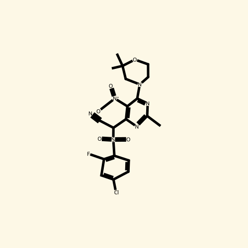 Cc1nc(C(C#N)S(=O)(=O)c2ccc(Cl)cc2F)c([N+](=O)[O-])c(N2CCOC(C)(C)C2)n1